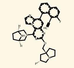 C#Cc1c(F)ccc2cccc(-c3cc4nc(OC[C@@]56CCCN5C[C@H](F)C6)nc(N5C[C@H]6CC[C@@H](C5)N6)c4n4ccnc34)c12